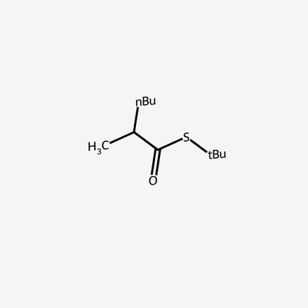 CCCCC(C)C(=O)SC(C)(C)C